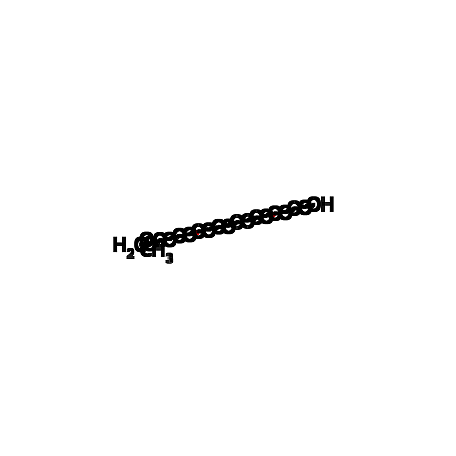 C=C(C)C(=O)OCCOCCOCCOCCOCCOCCOCCOCCOCCOCCOCCOCCOCCOCCOCCOCCOCCO